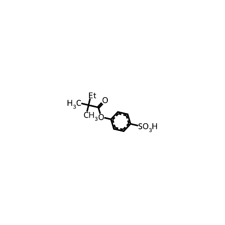 CCC(C)(C)C(=O)Oc1ccc(S(=O)(=O)O)cc1